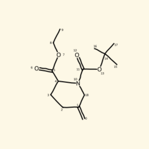 C=C1CCC(C(=O)OCC)N(C(=O)OC(C)(C)C)C1